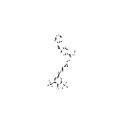 CC(C)N(CCOCCSc1cc(C(C)(C)C)c(O)c(C(C)(C)C)c1)c1ccc(Nc2ccccc2)cc1